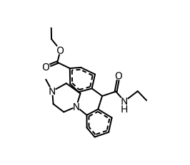 CCNC(=O)C(c1ccc(C(=O)OCC)cc1)c1ccccc1N1CCN(C)CC1